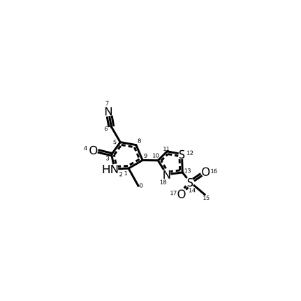 Cc1[nH]c(=O)c(C#N)cc1-c1csc(S(C)(=O)=O)n1